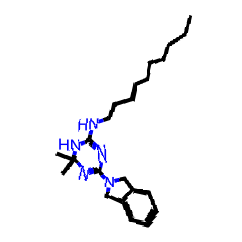 CCCCCCCCCCNC1=NC(N2Cc3ccccc3C2)=NC(C)(C)N1